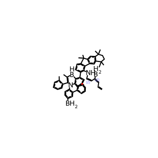 BC(/C=C\Nc1c(-c2cc(C)cc3c2BC(C)=C(c2ccccc2C)N3c2ccc(B)cc2-c2ccccc2)ccc2c1-c1cc3c(cc1C2(C)C)C(C)(C)CCC3(C)C)=C/C=C